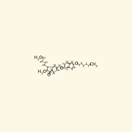 CCCCCCOc1ccc2cc(OCc3ccc(C(=O)[C@H](C)CCCCCC)cc3)ccc2c1